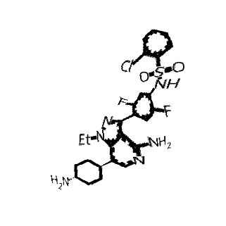 CCn1nc(-c2cc(F)c(NS(=O)(=O)c3ccccc3Cl)cc2F)c2c(N)ncc([C@H]3CC[C@H](N)CC3)c21